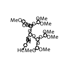 C#Cc1ccc(-c2cn(Cc3cc(OCc4cc(OCc5cc(OC)cc(OC)c5)cc(OCc5cc(OC)cc(OC)c5)c4)cc(OCc4cc(OCc5cc(OC)cc(OC)c5)cc(OCc5ccc(OC)cc5OC)c4)c3)nn2)cc1